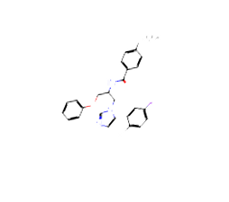 COc1ccc(C(=O)NC(COc2ccccc2)Cn2ccnc2)cc1.O=C(O)c1ccc(I)cc1